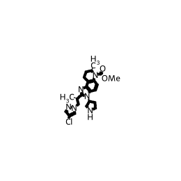 COC(=O)N1c2ccc3c(nc([C@@H](C)Cn4cc(Cl)cn4)n3[C@H]3CCNC3)c2CC[C@@H]1C